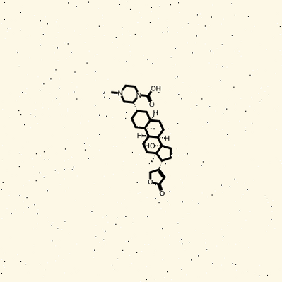 CN1CCN(C(=O)O)C([C@H]2CC[C@@]3(C)[C@H](CC[C@@H]4[C@@H]3CC[C@]3(C)[C@@H](C5=CC(=O)OC5)CC[C@]43O)C2)C1